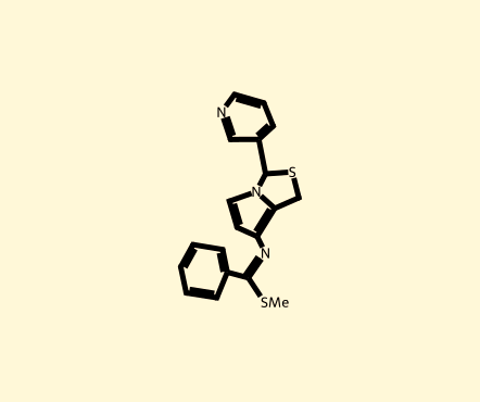 CSC(=Nc1ccn2c1CSC2c1cccnc1)c1ccccc1